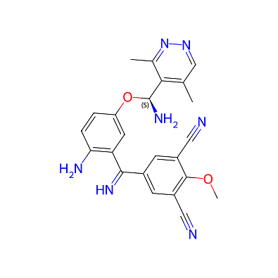 COc1c(C#N)cc(C(=N)c2cc(O[C@H](N)c3c(C)cnnc3C)ccc2N)cc1C#N